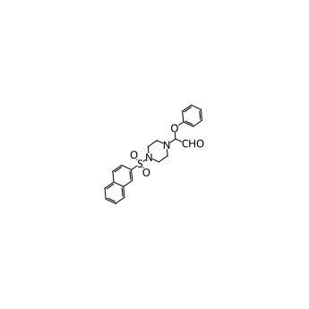 O=CC(Oc1ccccc1)N1CCN(S(=O)(=O)c2ccc3ccccc3c2)CC1